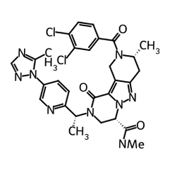 CNC(=O)[C@@H]1CN([C@H](C)c2ccc(-n3ncnc3C)cn2)C(=O)c2c3c(nn21)C[C@@H](C)N(C(=O)c1ccc(Cl)c(Cl)c1)C3